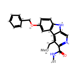 CCNC(=O)c1ncc2[nH]c3ccc(OCc4ccccc4)cc3c2c1COC